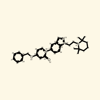 CC1(C)CCCC(C)(C)N1CCn1ncc2cc(-n3ccc(OCc4ccccc4)cc3=O)ccc21